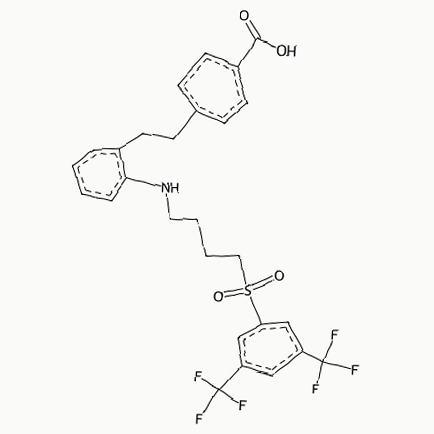 O=C(O)c1ccc(CCc2ccccc2NCCCCS(=O)(=O)c2cc(C(F)(F)F)cc(C(F)(F)F)c2)cc1